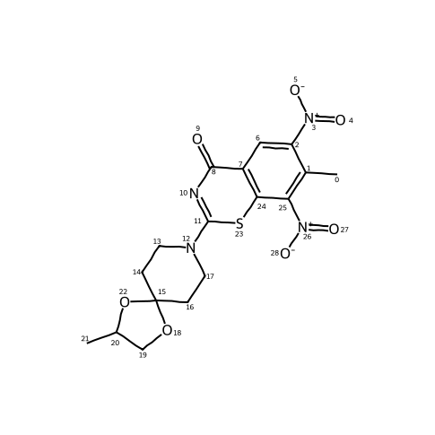 Cc1c([N+](=O)[O-])cc2c(=O)nc(N3CCC4(CC3)OCC(C)O4)sc2c1[N+](=O)[O-]